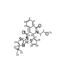 COCCN1C(=O)c2ccccc2C(C(=O)Nc2nc(C(C)(C)C)cs2)C1c1cccs1